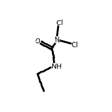 CCNC(=O)N(Cl)Cl